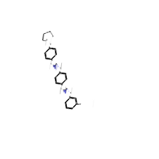 Cc1cccc(/N=N/c2ccc(/N=N/c3ccc(N4CCCC4)cc3)cc2)c1